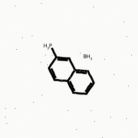 B.Pc1ccc2ccccc2c1